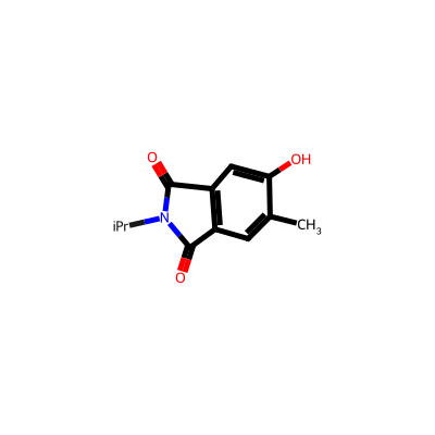 Cc1cc2c(cc1O)C(=O)N(C(C)C)C2=O